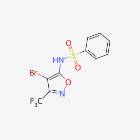 O=S(=O)(Nc1onc(C(F)(F)F)c1Br)c1ccccc1